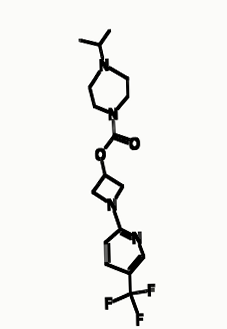 CC(C)N1CCN(C(=O)OC2CN(c3ccc(C(F)(F)F)cn3)C2)CC1